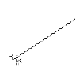 CCCCCCCCCCCCCCCCCCCCCCCCCCCCCCO/C(=N\C(C)C)NC(C)C